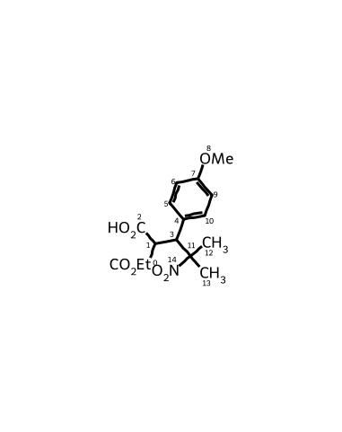 CCOC(=O)C(C(=O)O)C(c1ccc(OC)cc1)C(C)(C)[N+](=O)[O-]